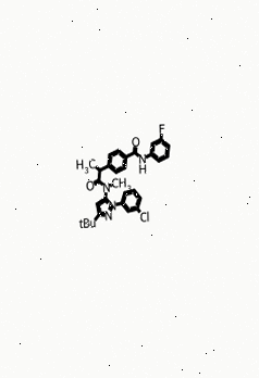 CC(C(=O)N(C)c1cc(C(C)(C)C)nn1-c1cccc(Cl)c1)c1ccc(C(=O)Nc2cccc(F)c2)cc1